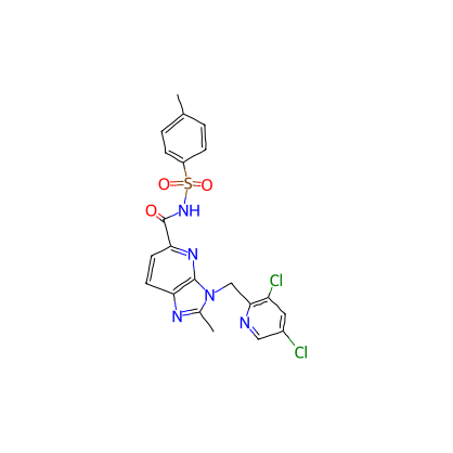 Cc1ccc(S(=O)(=O)NC(=O)c2ccc3nc(C)n(Cc4ncc(Cl)cc4Cl)c3n2)cc1